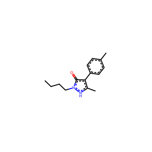 CCCCn1[nH]c(C)c(-c2ccc(C)cc2)c1=O